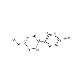 [CH2]C=C1CCC(c2ccc(F)cc2)CC1